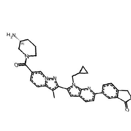 Cc1c(-c2cc3ccc(-c4ccc5c(c4)C(=O)NC5)nc3n2CC2CC2)nn2cc(C(=O)N3CCC[C@@H](N)C3)ccc12